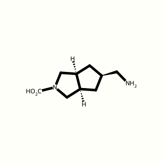 NC[C@@H]1C[C@@H]2CN(C(=O)O)C[C@@H]2C1